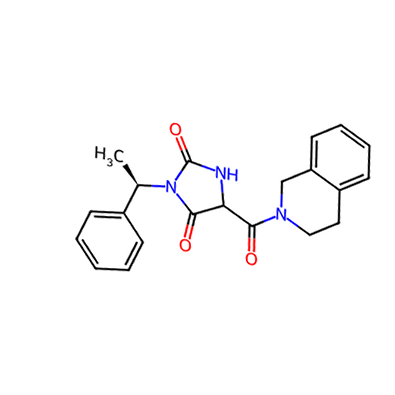 C[C@H](c1ccccc1)N1C(=O)NC(C(=O)N2CCc3ccccc3C2)C1=O